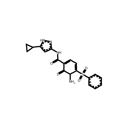 NC1C(=S)C(C(=O)Nc2cc(C3CC3)[nH]n2)=CC=C1S(=O)(=O)c1ccccc1